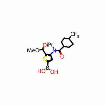 COC(=O)c1sc(B(O)O)cc1N(C(=O)C1CCC(C(F)(F)F)CC1)C(C)C